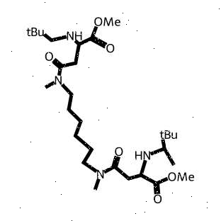 COC(=O)C(CC(=O)N(C)CCCCCCN(C)C(=O)CC(NC(C)C(C)(C)C)C(=O)OC)NCC(C)(C)C